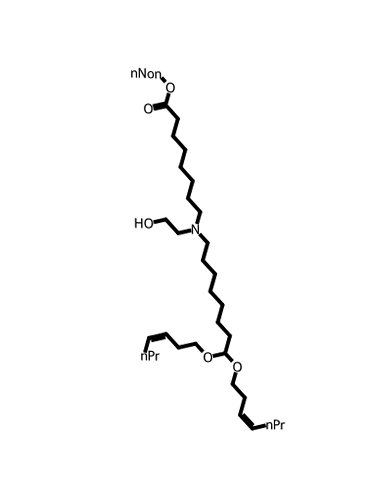 CCC/C=C\CCOC(CCCCCCCN(CCO)CCCCCCCC(=O)OCCCCCCCCC)OCC/C=C\CCC